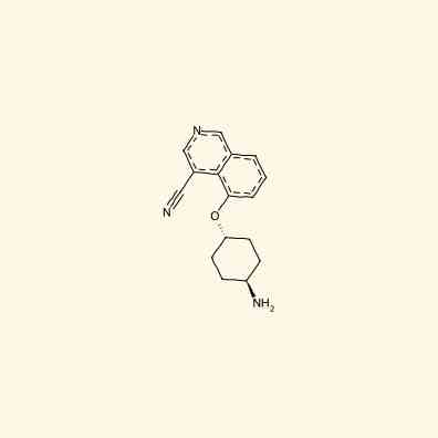 N#Cc1cncc2cccc(O[C@H]3CC[C@H](N)CC3)c12